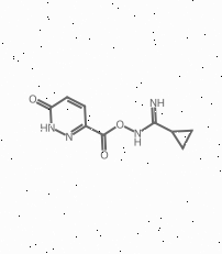 N=C(NOC(=O)c1ccc(=O)[nH]n1)C1CC1